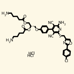 Cl.Cl.N#Cc1c(N)nc(SCc2coc(-c3ccc(Cl)cc3)n2)c(C#N)c1-c1ccc(OC[C@@H](COC(=O)CCCCN)OC(=O)CCCCN)cc1